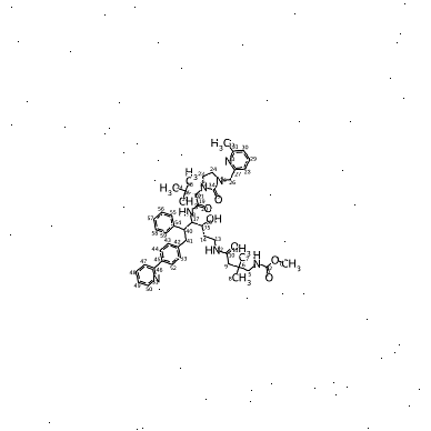 COC(=O)NCC(C)(C)CC(=O)NCCC(O)C(NC(=O)[C@@H](N1CCN(Cc2cccc(C)n2)C1=O)C(C)(C)C)C(Cc1ccc(-c2ccccn2)cc1)c1ccccc1